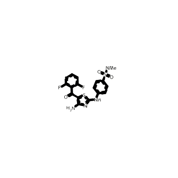 CNS(=O)(=O)c1ccc(Nc2nc(N)c(C(=O)c3c(F)cccc3F)s2)cc1